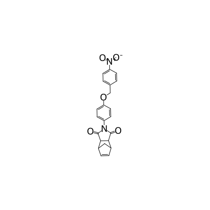 O=C1C2C3C=CC(C3)C2C(=O)N1c1ccc(OCc2ccc([N+](=O)[O-])cc2)cc1